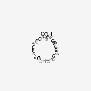 O=C1CCCCCCCCC/C=C\CCCCCCCCC1O